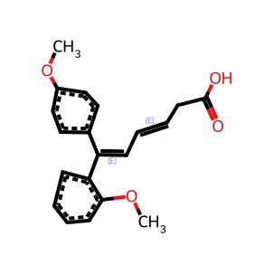 COc1ccc(/C(=C\C=C\CC(=O)O)c2ccccc2OC)cc1